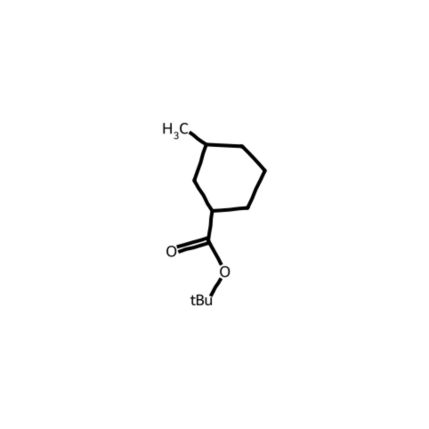 CC1CCCC(C(=O)OC(C)(C)C)C1